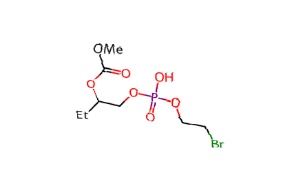 CCC(COP(=O)(O)OCCBr)OC(=O)OC